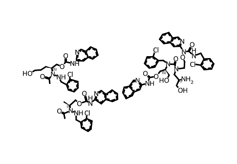 CC(=O)N(NCc1ccccc1Cl)[C@@H](C)COC(=O)Nc1cc2ccccc2cn1.CC(=O)N(NCc1ccccc1Cl)[C@@H](CCCO)COC(=O)Nc1cc2ccccc2cn1.N[C@@H](CO)CN(CCON(C(=O)NCc1ccccc1Cl)c1cc2ccccc2cn1)C(=O)N(Cc1ccccc1Cl)[C@@H](CO)COC(=O)Nc1cc2ccccc2cn1